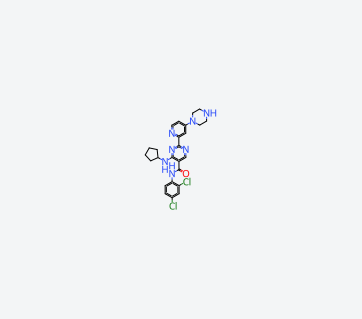 O=C(Nc1ccc(Cl)cc1Cl)c1cnc(-c2cc(N3CCNCC3)ccn2)nc1NC1CCCC1